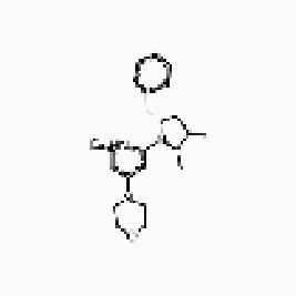 C[C@@H]1C[C@@H](Cc2ccccc2)N(c2cc(N3CCOCC3)cc(=O)[nH]2)[C@@H]1C